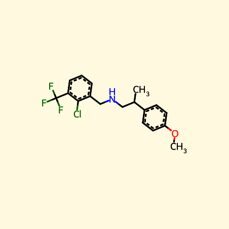 COc1ccc(C(C)CNCc2cccc(C(F)(F)F)c2Cl)cc1